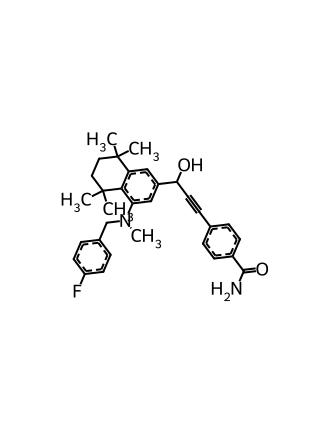 CN(Cc1ccc(F)cc1)c1cc(C(O)C#Cc2ccc(C(N)=O)cc2)cc2c1C(C)(C)CCC2(C)C